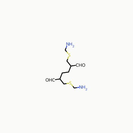 NCSCC(C=O)CCC(C=O)CSCN